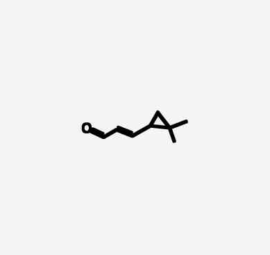 CC1(C)CC1C=CC=O